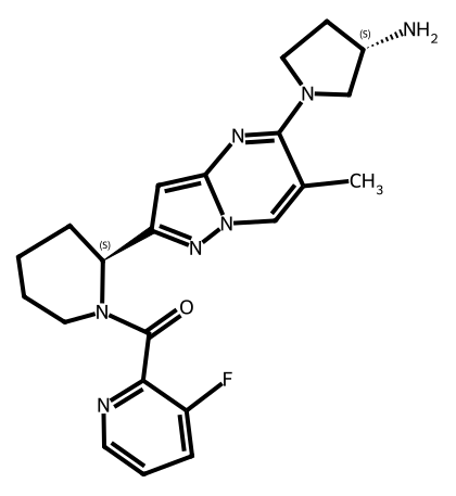 Cc1cn2nc([C@@H]3CCCCN3C(=O)c3ncccc3F)cc2nc1N1CC[C@H](N)C1